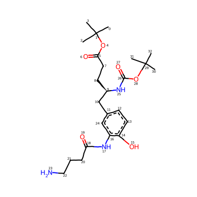 CC(C)(C)OC(=O)CC[C@H](Cc1ccc(O)c(NC(=O)CCCN)c1)NC(=O)OC(C)(C)C